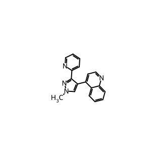 Cn1cc(-c2ccnc3ccccc23)c(-c2ccccn2)n1